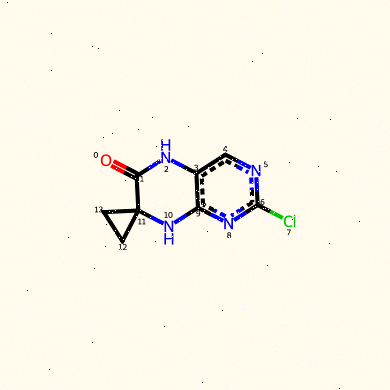 O=C1Nc2cnc(Cl)nc2NC12CC2